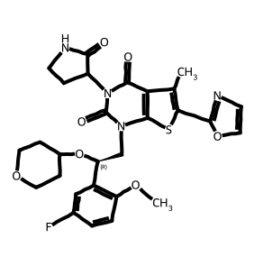 COc1ccc(F)cc1[C@H](Cn1c(=O)n(C2CCNC2=O)c(=O)c2c(C)c(-c3ncco3)sc21)OC1CCOCC1